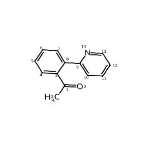 CC(=O)c1ccccc1-c1ccccn1